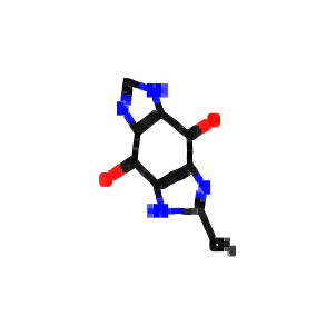 Cc1nc2c([nH]1)C(=O)c1nc[nH]c1C2=O